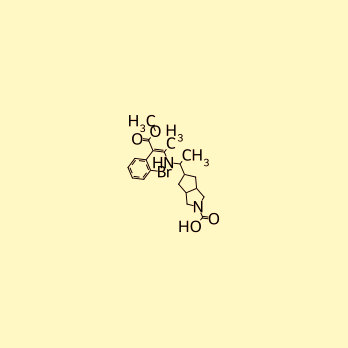 COC(=O)/C(=C(\C)NC(C)C1CC2CN(C(=O)O)CC2C1)c1ccccc1Br